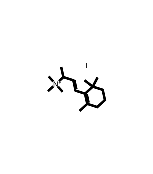 CC1=C(C=CC(C)[N+](C)(C)C)C(C)(C)CCC1.[I-]